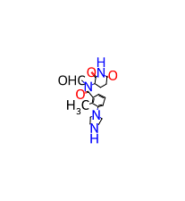 Cc1c(C(=O)N(C=O)C2CCC(=O)NC2=O)cccc1N1CCNCC1